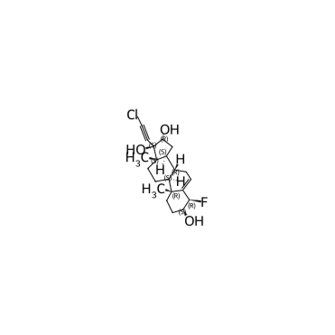 C[C@]12CC[C@H](O)[C@H](F)C1=CC[C@@H]1[C@@H]2CC[C@@]2(C)[C@H]1C[C@@H](O)[C@@]2(O)C#CCl